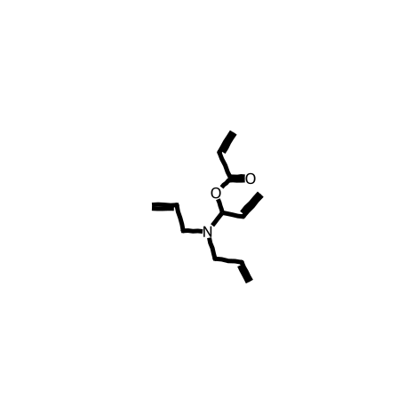 C=CCN(CC=C)C(C=C)OC(=O)C=C